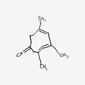 CC1=CC(C)=C(C)C(=O)C1